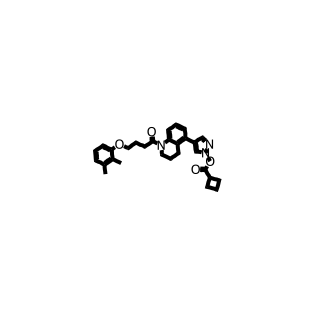 Cc1cccc(OCCCC(=O)N2CCCc3c(-c4cnn(OC(=O)C5CCC5)c4)cccc32)c1C